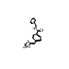 O=C(NCc1ccccc1)c1ccc(C=C2ONOS2)cc1